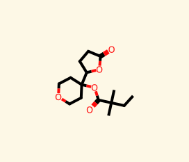 CCC(C)(C)C(=O)OC1(C2CCC(=O)O2)CCOCC1